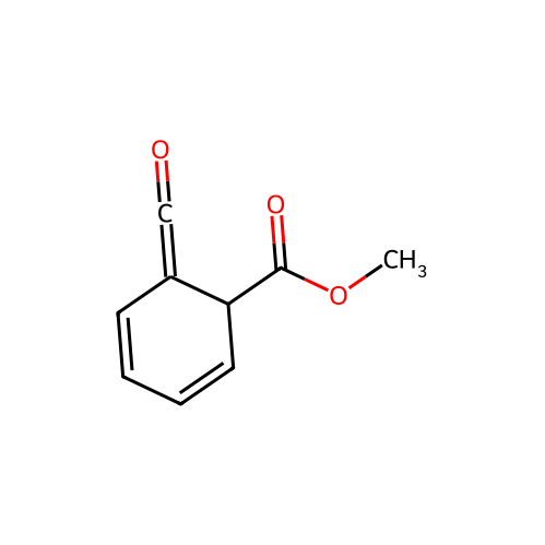 COC(=O)C1C=CC=CC1=C=O